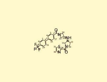 O=C(c1ccc(-c2ccc(C(F)(F)F)cc2)cc1)N1CC(N[C@H]2CCN(C(=O)c3nccs3)C2)C1